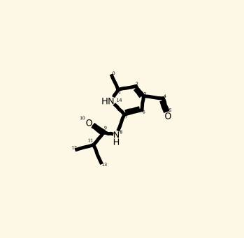 CC1C=C(C=O)C=C(NC(=O)C(C)C)N1